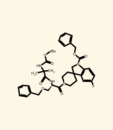 CC(C)(C)OC(=O)NC(C)(C)C(=O)N[C@H](COCc1ccccc1)C(=O)N1CCC2(CC1)CN(C(=O)OCc1ccccc1)c1ccc(F)cc12